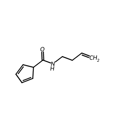 C=CCCNC(=O)C1C=CC=C1